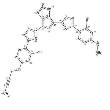 CC#CCOc1ccc(-c2ccc(-c3sc(-c4ccc(-c5ccc(OCCCC)cc5F)s4)c4c3N=S=N4)s2)c(F)c1